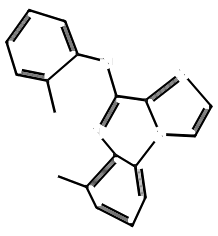 CCOC(=O)c1cccc2c1nc(Nc1ccccc1F)c1nccn12